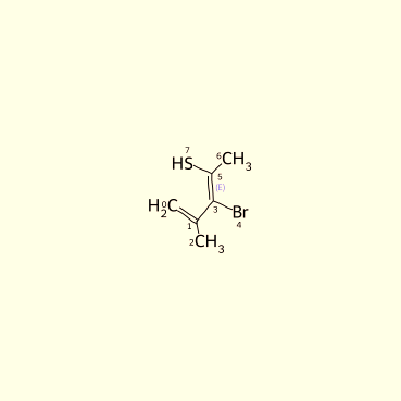 C=C(C)/C(Br)=C(/C)S